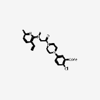 C=Cc1ccc(C)nc1N(C)CC(=O)N1CCN(c2ccc(Cl)c(OC)c2)CC1